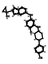 N#Cc1ccc(N2CCC(Nc3nc(Nc4ccn5nc(C6(O)CC6)nc5c4)ncc3Cl)CC2)nc1